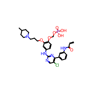 C=CC(=O)Nc1cccc(-c2nc(Nc3ccc(OCOP(=O)(O)O)c(OCCCN4CCC(C)CC4)c3)ncc2Cl)c1